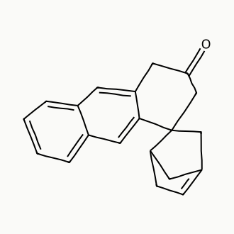 O=C1Cc2cc3ccccc3cc2C2(C1)CC1=CCC2C1